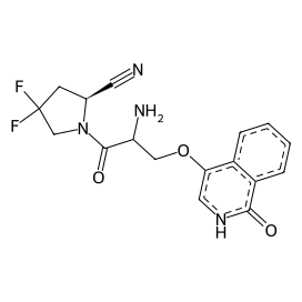 N#C[C@@H]1CC(F)(F)CN1C(=O)C(N)COc1c[nH]c(=O)c2ccccc12